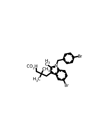 Cc1c(CC(C)(C)CC(=O)O)c2cc(Br)ccc2n1Cc1ccc(Br)cc1